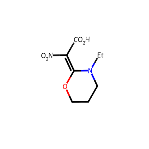 CCN1CCCOC1=C(C(=O)O)[N+](=O)[O-]